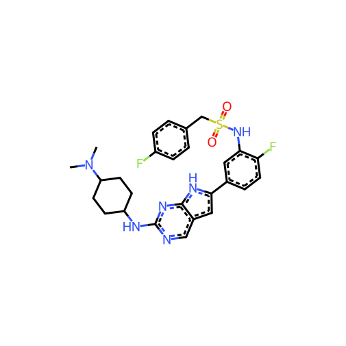 CN(C)C1CCC(Nc2ncc3cc(-c4ccc(F)c(NS(=O)(=O)Cc5ccc(F)cc5)c4)[nH]c3n2)CC1